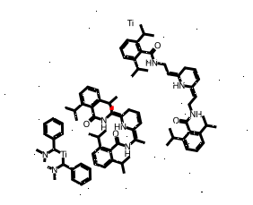 CC(C)c1cccc(C(C)C)c1C(=O)NCC=C1C=CCC(=CCNC(=O)c2c(C(C)C)cccc2C(C)C)N1.CC(NC(=O)c1c(C(C)C)cccc1C(C)C)=C1C=CCC(=C(C)NC(=O)c2c(C(C)C)cccc2C(C)C)N1.CN(C)[CH]([Ti][CH](c1ccccc1)N(C)C)c1ccccc1.[Ti]